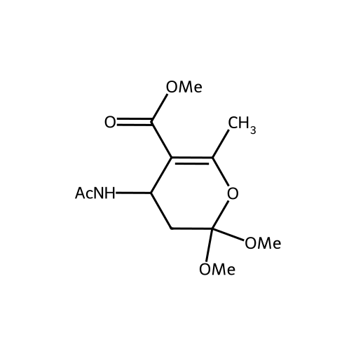 COC(=O)C1=C(C)OC(OC)(OC)CC1NC(C)=O